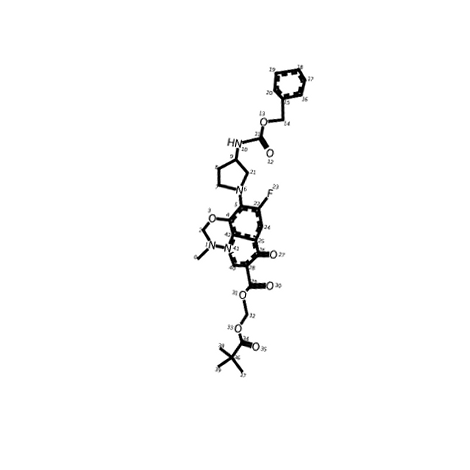 CN1COc2c(N3CCC(NC(=O)OCc4ccccc4)C3)c(F)cc3c(=O)c(C(=O)OCOC(=O)C(C)(C)C)cn1c23